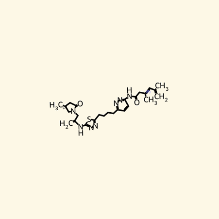 C=C(C)/C=C(\C)CC(=O)Nc1ccc(CCCCc2nnc(NC(=C)CN3C[C@@H](C)CC3=O)s2)nn1